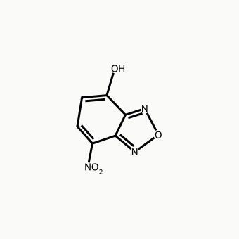 O=[N+]([O-])c1ccc(O)c2nonc12